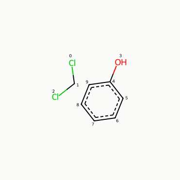 ClCCl.Oc1ccccc1